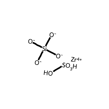 O=S(=O)(O)O.[O-][Si]([O-])([O-])[O-].[Zr+4]